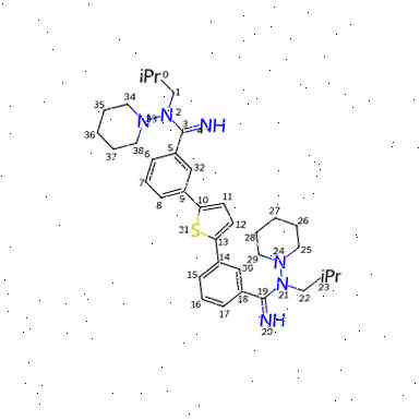 CC(C)CN(C(=N)c1cccc(-c2ccc(-c3cccc(C(=N)N(CC(C)C)N4CCCCC4)c3)s2)c1)N1CCCCC1